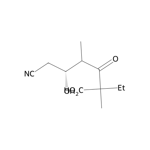 CCC(C)(C(=O)O)C(=O)C(C)[C@H](O)CC#N